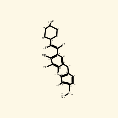 CCCC1CCC(/C(F)=C(\F)c2cc3c(c(F)c2F)Oc2c(ccc(OCC)c2F)C3)CC1